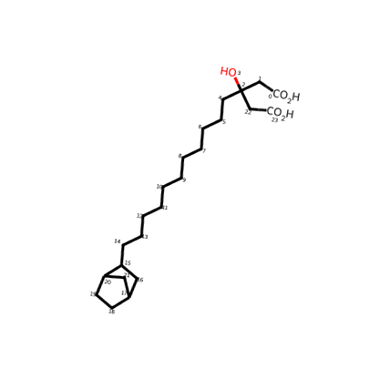 O=C(O)CC(O)(CCCCCCCCCCCC1CC2CCC1C2)CC(=O)O